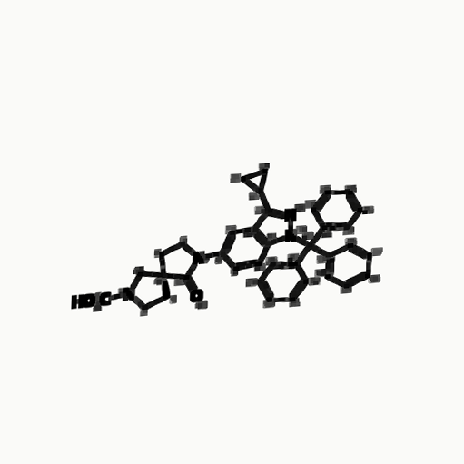 O=C(O)N1CC[C@]2(CCN(c3ccc4c(c3)c(C3CC3)nn4C(c3ccccc3)(c3ccccc3)c3ccccc3)C2=O)C1